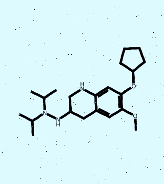 COc1cc2c(cc1OC1CCCC1)NCC(NN(C(C)C)C(C)C)C2